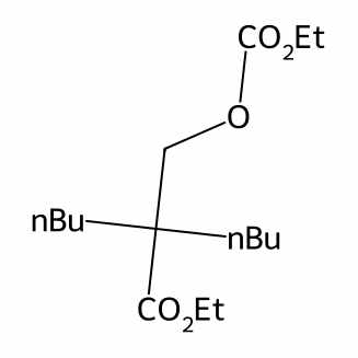 CCCCC(CCCC)(COC(=O)OCC)C(=O)OCC